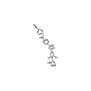 N#Cc1ccc(CNc2ncc(-c3nnc(N4C[C@@H]5C(c6cnn[nH]6)[C@@H]5C4)o3)cn2)cc1